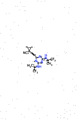 C[C@@H](Nc1nc(C#CC2(C#N)CC2)nc(N[C@H](C)C(F)(F)F)n1)C(F)(F)F